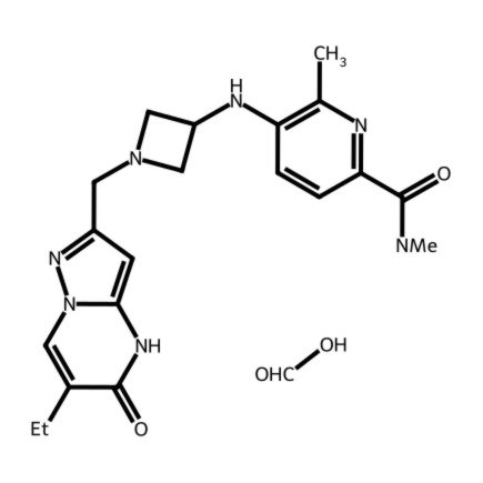 CCc1cn2nc(CN3CC(Nc4ccc(C(=O)NC)nc4C)C3)cc2[nH]c1=O.O=CO